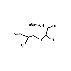 CCCCO.COC(C)COC(C)CO